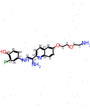 NCCOCCOc1ccc2nc(/C(N)=C/Nc3ccc(O)c(F)c3)ccc2c1